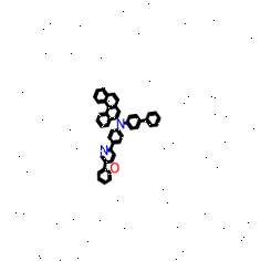 c1ccc(-c2ccc(N(c3ccc(-c4cc5oc6ccccc6c5cn4)cc3)c3cc4ccc5ccccc5c4c4ccccc34)cc2)cc1